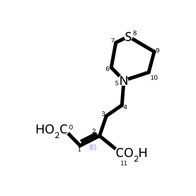 O=C(O)/C=C(\CCN1CCSCC1)C(=O)O